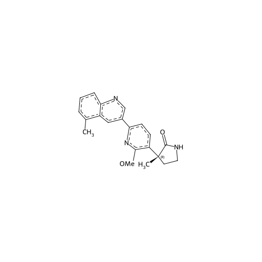 COc1nc(-c2cnc3cccc(C)c3c2)ccc1[C@@]1(C)CCNC1=O